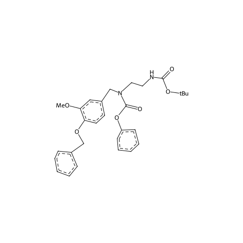 COc1cc(CN(CCNC(=O)OC(C)(C)C)C(=O)Oc2ccccc2)ccc1OCc1ccccc1